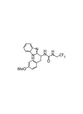 COc1ccc(CC(NC(=O)NCC(F)(F)F)c2nc3ccccc3[nH]2)cc1